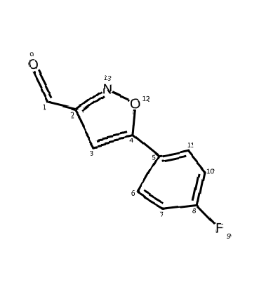 O=Cc1cc(-c2ccc(F)cc2)on1